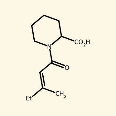 CC/C(C)=C/C(=O)N1CCCCC1C(=O)O